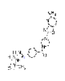 Cc1ccc2oc(N3CCN(C(=O)C4=CC=C(/C(N)=C/N(N)C5(C)COC5)CC4)CC3)nc2n1